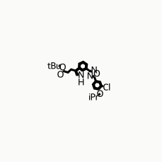 CC(C)Oc1ccc(-c2nc(-c3cccc4c(CCC(=O)OC(C)(C)C)c[nH]c34)no2)cc1Cl